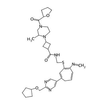 C=NC1=C(SCNC(=O)C2CC(N3CCN(C(=O)C4CCCO4)CC3C)C2)C=C(c2cnc(COC3CCCC3)nc2)CC=C1